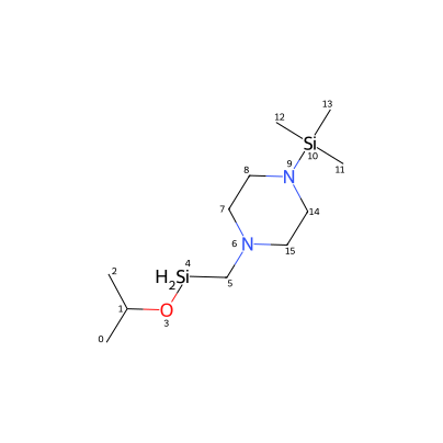 CC(C)O[SiH2]CN1CCN([Si](C)(C)C)CC1